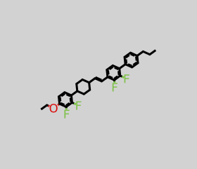 CCCc1ccc(-c2ccc(/C=C/C3CCC(c4ccc(OCC)c(F)c4F)CC3)c(F)c2F)cc1